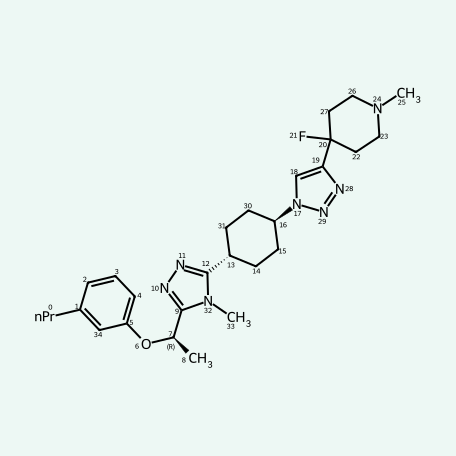 CCCc1cccc(O[C@H](C)c2nnc([C@H]3CC[C@H](n4cc(C5(F)CCN(C)CC5)nn4)CC3)n2C)c1